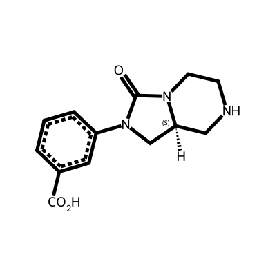 O=C(O)c1cccc(N2C[C@@H]3CNCCN3C2=O)c1